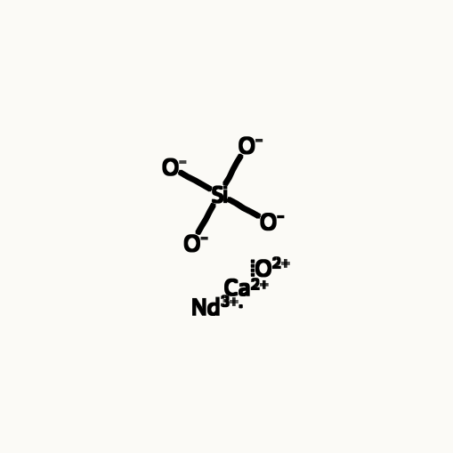 [Ca+2].[Nd+3].[O+2].[O-][Si]([O-])([O-])[O-]